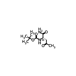 CC(=O)C[C@H](NC(=O)OC(C)(C)C)C(N)=O